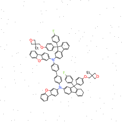 CCC1(COc2ccc(C3(c4ccc(F)cc4)C4=C(C=CCC4)c4ccc(N(c5ccc(-c6ccc(N(c7ccc8c(c7)C(c7ccc(F)cc7)(c7ccc(OCC9(CC)COC9)cc7)c7ccccc7-8)c7ccc8c(c7)oc7ccccc78)cc6)cc5)c5ccc6c(c5)oc5ccccc56)cc43)cc2)COC1